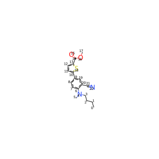 CCCCN(C)c1ccc(-c2ccc(C(=O)OC)s2)cc1C#N